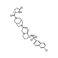 O=C1CC[C@H](C(=O)N2CC3CC(CN(C(=O)CN4CCC[C@H](NS(=O)(=O)c5ccc6cc(Cl)ccc6c5)C4=O)C3)C2)N1